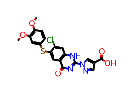 COc1ccc(Sc2cc3c(=O)nc(-n4cc(C(=O)O)cn4)[nH]c3cc2Cl)cc1OC